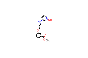 COC(=O)c1cccc(OCCCNC2=CN(O)CC=C2)c1